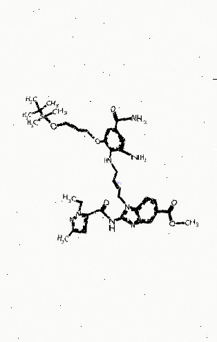 CCn1nc(C)cc1C(=O)Nc1nc2cc(C(=O)OC)ccc2n1C/C=C/CNc1c(N)cc(C(N)=O)cc1OCCCO[Si](C)(C)C(C)(C)C